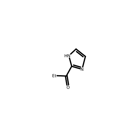 [CH2]CC(=O)c1ncc[nH]1